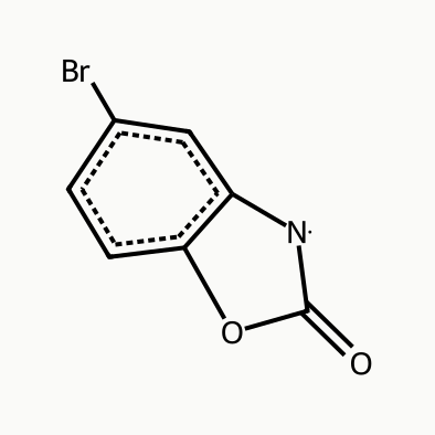 O=C1[N]c2cc(Br)ccc2O1